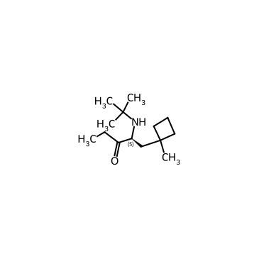 CCC(=O)[C@H](CC1(C)CCC1)NC(C)(C)C